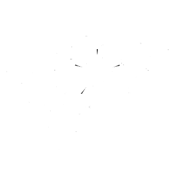 COc1ccc(C(c2ccccc2)(c2ccc(OC)cc2)C(O)[C@@H]2S[C@H](n3ccc(=O)[nH]c3=O)[C@H](OC)[C@@H]2O)cc1